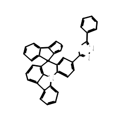 c1ccc(-c2nnc(-c3ccc4c(c3)C3(c5ccccc5-c5ccccc53)c3cccc5c6ccccc6n-4c35)o2)cc1